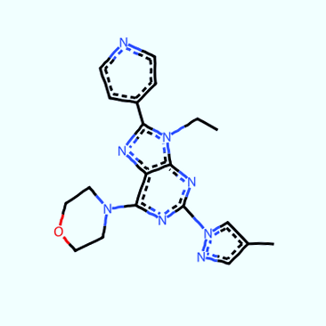 CCn1c(-c2ccncc2)nc2c(N3CCOCC3)nc(-n3cc(C)cn3)nc21